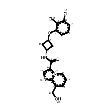 O=C(N[C@H]1C[C@H](Oc2cccc(Cl)c2Cl)C1)c1cnc2c(CO)cccn12